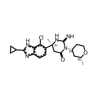 C[C@@H]1C[C@H](N2C(=N)N[C@](C)(c3ccc4nc(C5CC5)[nH]c4c3Cl)CC2=O)CCO1